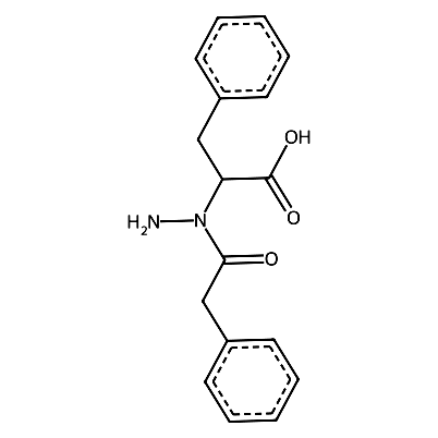 NN(C(=O)Cc1ccccc1)C(Cc1ccccc1)C(=O)O